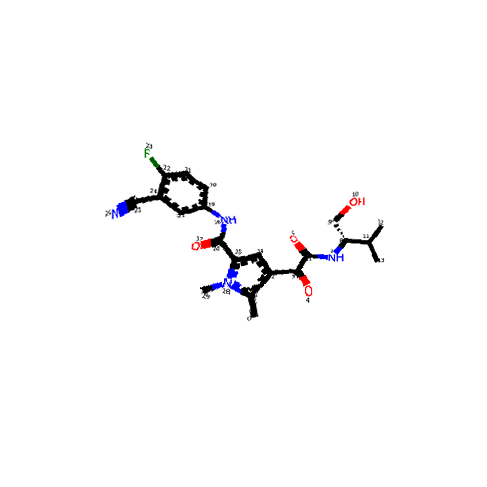 Cc1c(C(=O)C(=O)N[C@H](CO)C(C)C)cc(C(=O)Nc2ccc(F)c(C#N)c2)n1C